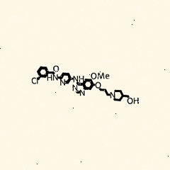 COc1cc2c(Nc3ccc(NC(=O)c4cccc(Cl)c4)nc3)ncnc2cc1OCCCN1CCC(CO)CC1